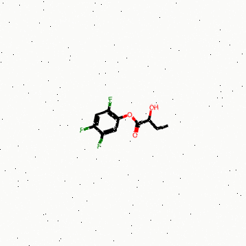 CCC(O)C(=O)Oc1cc(F)c(F)cc1F